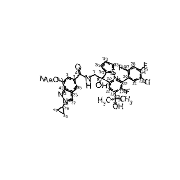 COc1cc(C(=O)NC[C@](O)(c2cc(C(C)(C)O)c(F)c(-c3cc(Cl)c(F)cc3F)n2)c2cccs2)cc2cn(C3CC3)nc12